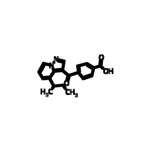 CCC(C)c1cccn2ncc(C(=O)c3ccc(C(=O)O)cc3)c12